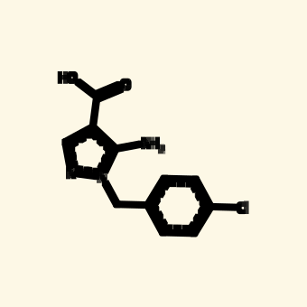 Nc1c(C(=O)O)cnn1Cc1ccc(Cl)cc1